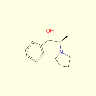 C[C@H]([C@@H](O)c1ccccc1)N1CCCC1